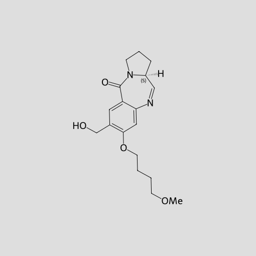 COCCCCOc1cc2c(cc1CO)C(=O)N1CCC[C@H]1C=N2